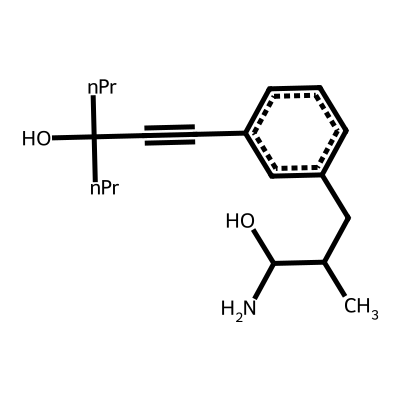 CCCC(O)(C#Cc1cccc(CC(C)C(N)O)c1)CCC